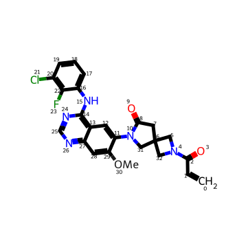 C=CC(=O)N1CC2(CC(=O)N(c3cc4c(Nc5cccc(Cl)c5F)ncnc4cc3OC)C2)C1